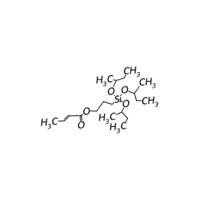 CC=CC(=O)OCCC[Si](OC(C)CC)(OC(C)CC)OC(C)CC